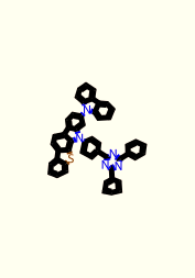 c1ccc(-c2nc(-c3ccccc3)nc(-c3ccc(-n4c5cc(-n6c7ccccc7c7ccccc76)ccc5c5ccc6c7ccccc7sc6c54)cc3)n2)cc1